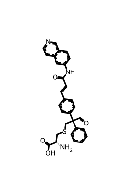 N[C@@H](CSCC(C=O)(c1ccccc1)c1ccc(C=CC(=O)Nc2ccc3cnccc3c2)cc1)C(=O)O